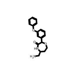 NCC1CCOC(c2cccc(Oc3ccccc3)c2)C(=O)N1